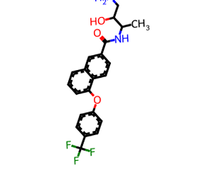 CC(NC(=O)c1ccc2c(Oc3ccc(C(F)(F)F)cc3)cccc2c1)C(O)CN